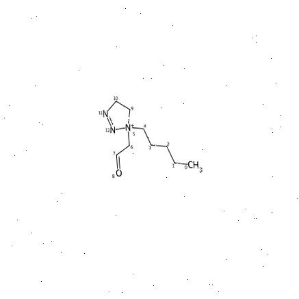 CCCCC[N+]1(CC=O)CCN=N1